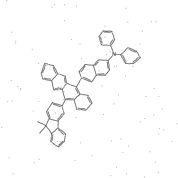 CC1(C)c2ccccc2-c2cc(-c3c4ccccc4c(-c4ccc5cc(N(c6ccccc6)c6ccccc6)ccc5c4)c4cc5ccccc5cc34)ccc21